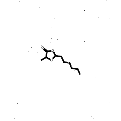 CCCCCCC1OC(=O)C(C)O1